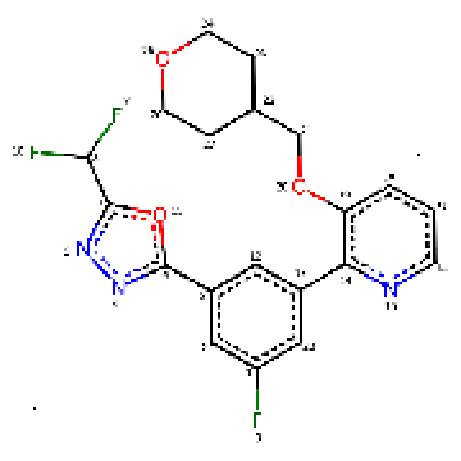 Fc1cc(-c2nnc(C(F)F)o2)cc(-c2ncccc2OCC2CCOCC2)c1